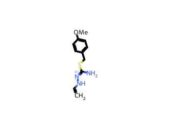 C=CN/N=C(\N)SCc1ccc(OC)cc1